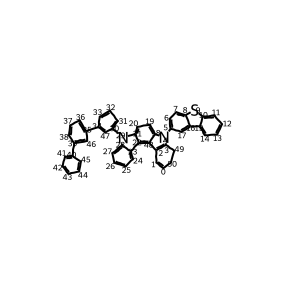 C1=Cc2c(n(-c3ccc4sc5ccccc5c4c3)c3ccc4c(c5ccccc5n4-c4cccc(-c5cccc(-c6ccccc6)c5)c4)c23)CC1